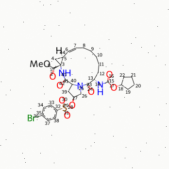 COC(=O)[C@@]12C[C@H]1/C=C\CCCCC[C@H](NC(=O)OC1CCCC1)C(=O)N1C[C@@H](OS(=O)(=O)c3ccc(Br)cc3)CC1C(=O)N2